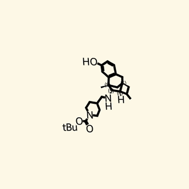 CC1C[C@]23Cc4ccc(O)cc4[C@](C)(C2)[C@@H](NCC2CCN(C(=O)OC(C)(C)C)CC2)[C@H]13